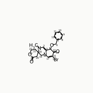 CN1C=C2C(OCc3ccccc3)C(=O)C(Br)=CN2CC12CCOC(=O)C2